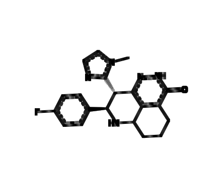 Cn1ccnc1[C@@H]1c2n[nH]c(=O)c3c2C(CCC3)N[C@H]1c1ccc(F)cc1